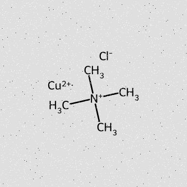 C[N+](C)(C)C.[Cl-].[Cu+2]